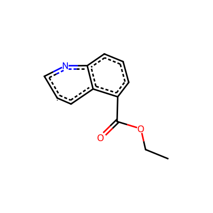 CCOC(=O)c1cccc2nc[c]cc12